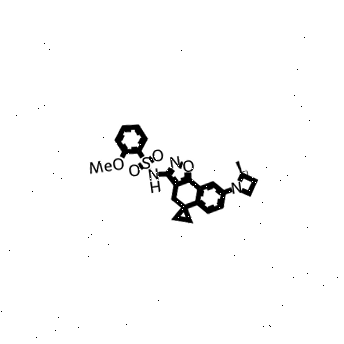 COc1ccccc1S(=O)(=O)Nc1noc2c1CC1(CC1)c1ccc(N3CC[C@@H]3C)cc1-2